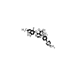 CCN(C)C(=O)c1c(Nc2ccc(N3CCN(C)CC3)cc2)ncnc1Oc1cc(F)c2[nH]c(C)cc2c1F